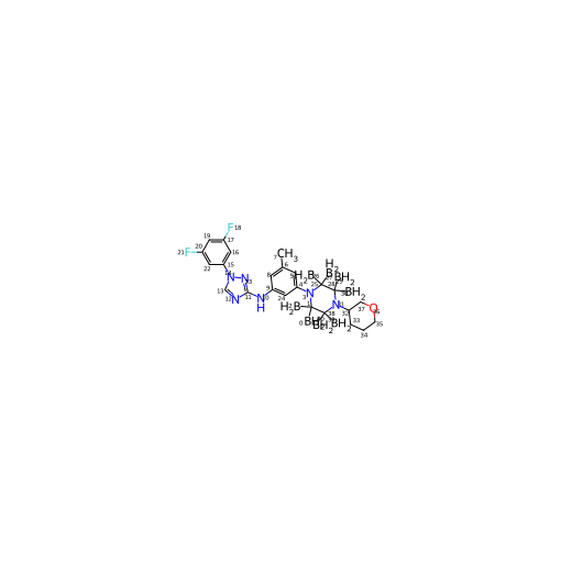 BC1(B)N(c2cc(C)cc(Nc3ncn(-c4cc(F)cc(F)c4)n3)c2)C(B)(B)C(B)(B)N(C2CCCOC2)C1(B)B